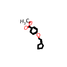 COC(=O)c1ccc(OCC=C2CCCC2)cc1